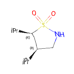 CC(C)[C@@H]1[C@H](C(C)C)CNS1(=O)=O